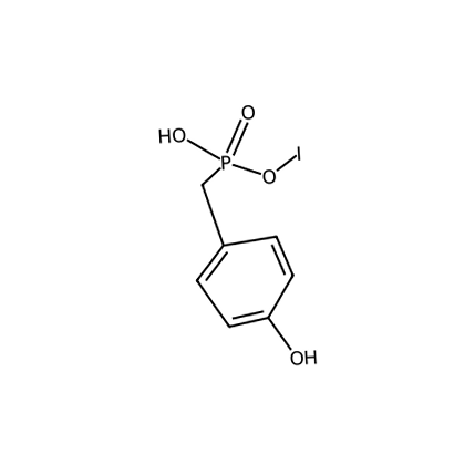 O=P(O)(Cc1ccc(O)cc1)OI